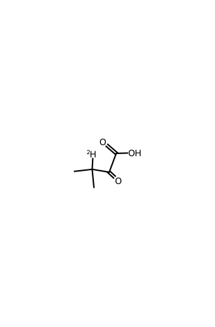 [2H]C(C)(C)C(=O)C(=O)O